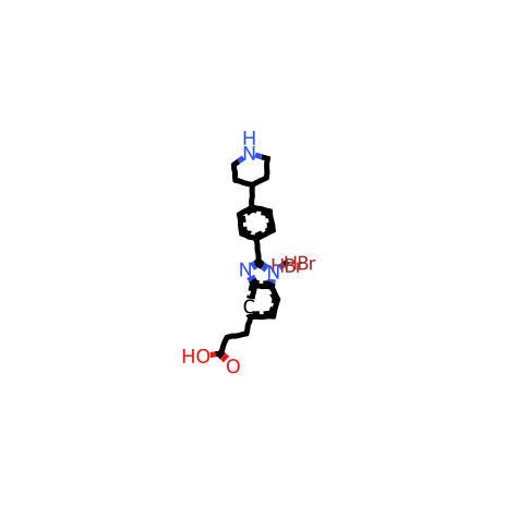 Br.Br.Cn1c(-c2ccc(C3CCNCC3)cc2)nc2cc(CCC(=O)O)ccc21